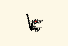 CC(C)CCCCCCCCCCCCCCC1=NCC[N+]1(CCOCCC(=O)[O-])CCC(=O)[O-].[Na+].[Na+].[OH-]